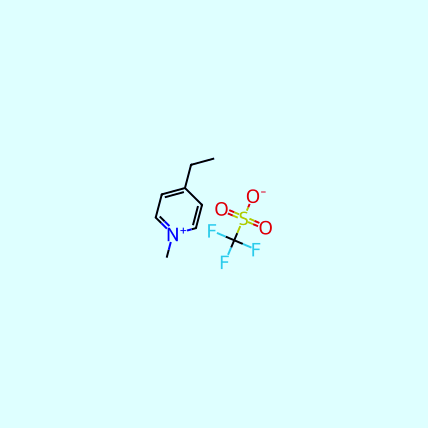 CCc1cc[n+](C)cc1.O=S(=O)([O-])C(F)(F)F